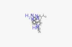 CCCCc1nc2c(N)nc3ccccc3c2n1CC1CCN(NCCC)CC1